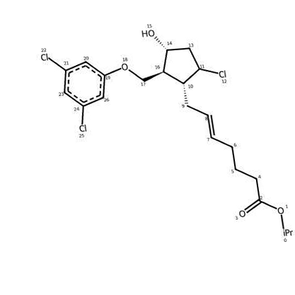 CC(C)OC(=O)CCCC=CC[C@H]1C(Cl)C[C@@H](O)[C@@H]1COc1cc(Cl)cc(Cl)c1